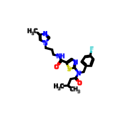 Cc1cn(CCCNC(=O)c2cnc(N(Cc3ccc(F)cc3)C(=O)CC(C)C)s2)cn1